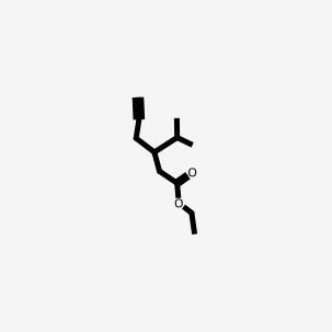 C#CCC(CC(=O)OCC)C(C)C